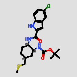 CSC[C@H]1CC[C@H](NC(=O)c2cc3cc(Cl)ccc3[nH]2)[C@H](NC(=O)OC(C)(C)C)C1